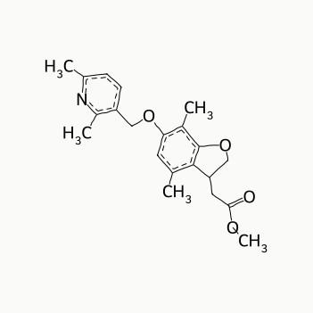 COC(=O)CC1COc2c(C)c(OCc3ccc(C)nc3C)cc(C)c21